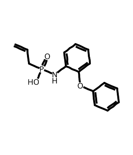 C=CCP(=O)(O)Nc1ccccc1Oc1ccccc1